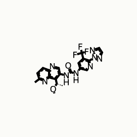 CO[C@@H](C)c1c(NC(=O)Nc2cnc(-n3nccn3)c(C(F)(F)F)c2)cnc2ccc(C)nc12